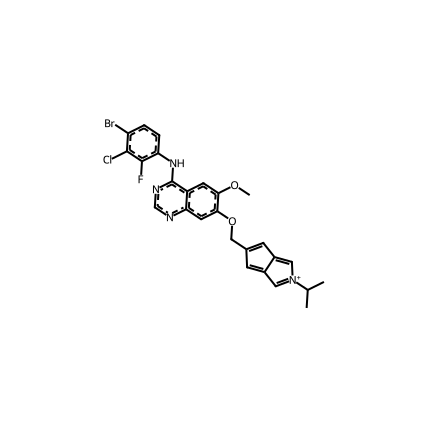 COc1cc2c(Nc3ccc(Br)c(Cl)c3F)ncnc2cc1OCC1=CC2=C[N+](C(C)C)=CC2=C1